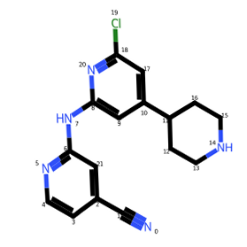 N#Cc1ccnc(Nc2cc(C3CCNCC3)cc(Cl)n2)c1